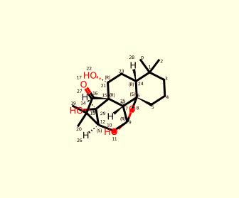 CC1(C)CCC[C@]23CO[C@]4(O)C[C@@H]5[C@@H](O)[C@](C(=O)C5(C)C)([C@H](O)C[C@H]12)[C@H]34